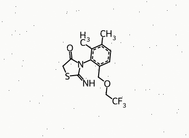 Cc1ccc(COCC(F)(F)F)c(N2C(=N)SCC2=O)c1C